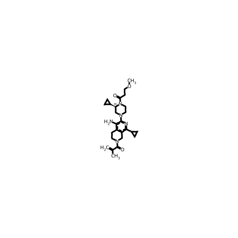 C=C(C)C(=O)N1CCc2c(N)c(N3CCN(C(=O)CCOC)[C@H](C4CC4)C3)nc(C3CC3)c2C1